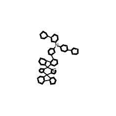 c1ccc(-c2ccc(N(c3cccc(-c4ccccc4)c3)c3cccc(-c4cccc5c4-c4ccccc4C54c5ccccc5C5(c6ccccc6-c6ccccc65)c5ccccc54)c3)cc2)cc1